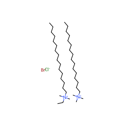 CCCCCCCCCCCCCCCC[N+](C)(C)C.CCCCCCCCCCCCCCCC[N+](C)(C)CC.[Br-].[Cl-]